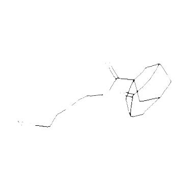 CSCCCCOC(=O)C12CC3CC(C1)C(=O)C(C3)C2